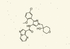 COc1ccc(Cl)cc1-c1nn(CC2(O)CCOCC2)cc1NC(=O)c1cnn2cccnc12